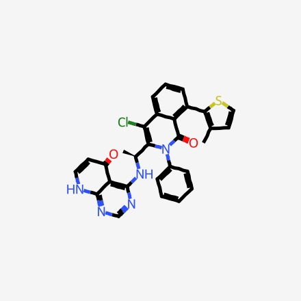 Cc1ccsc1-c1cccc2c(Cl)c([C@H](C)Nc3ncnc4[nH]ccc(=O)c34)n(-c3ccccc3)c(=O)c12